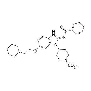 O=C(N=c1[nH]c2cnc(OCCN3CCCCC3)cc2n1C1CCN(C(=O)O)CC1)c1ccccc1